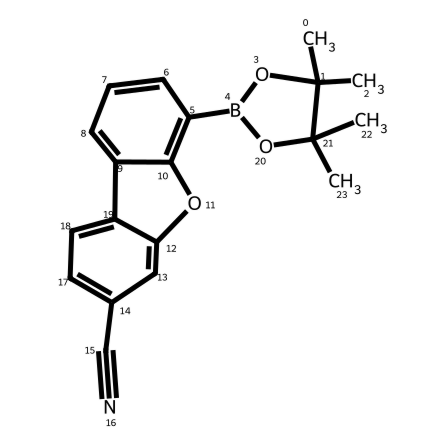 CC1(C)OB(c2cccc3c2oc2cc(C#N)ccc23)OC1(C)C